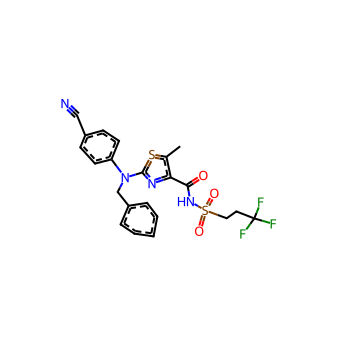 Cc1sc(N(Cc2ccccc2)c2ccc(C#N)cc2)nc1C(=O)NS(=O)(=O)CCC(F)(F)F